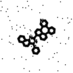 c1ccc(-c2nc(-c3ccc4c5c(cccc35)-c3ccccc3-c3ccncc3-4)nc3c2ccc2ccccc23)cc1